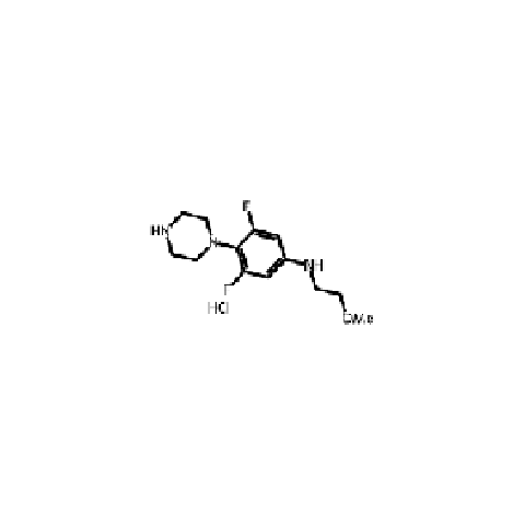 COCCNc1cc(F)c(N2CCNCC2)c(F)c1.Cl